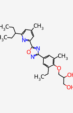 CCc1cc(-c2noc(-c3cc(C)cc(C(CC)CC)n3)n2)cc(C)c1OCC(O)CO